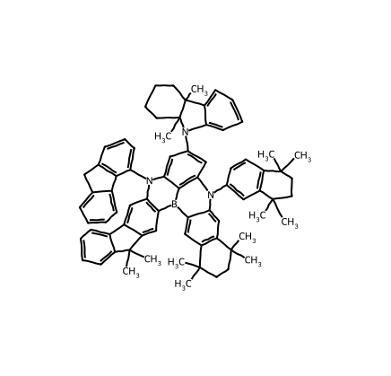 CC1(C)CCC(C)(C)c2cc(N3c4cc5c(cc4B4c6cc7c(cc6N(c6cccc8c6-c6ccccc6C8)c6cc(N8c9ccccc9C9(C)CCCCC89C)cc3c64)-c3ccccc3C7(C)C)C(C)(C)CCC5(C)C)ccc21